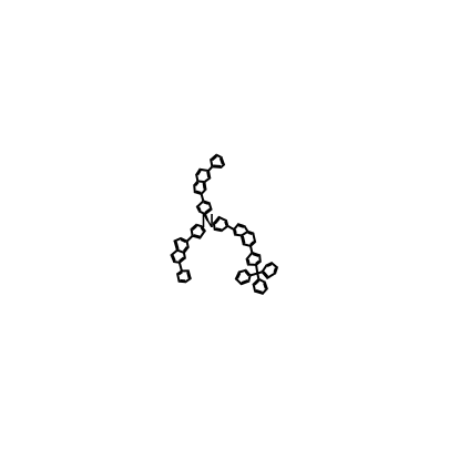 c1ccc(-c2ccc3ccc(-c4ccc(N(c5ccc(-c6ccc7ccc(-c8ccccc8)cc7c6)cc5)c5ccc(-c6ccc7ccc(-c8ccc(C(c9ccccc9)(c9ccccc9)c9ccccc9)cc8)cc7c6)cc5)cc4)cc3c2)cc1